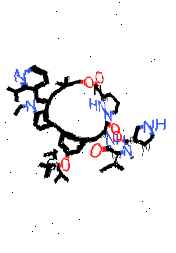 CCn1c(-c2cccnc2C(C)C)c2c3cc(ccc31)-c1cc(cc(O[Si](C(C)C)(C(C)C)C(C)C)c1)C[C@H](NC(=O)[C@H](C(C)C)N(C)C(=O)[C@@H]1CNC[C@@H]1C)C(=O)N1CCC[C@H](N1)C(=O)OCC(C)(C)C2